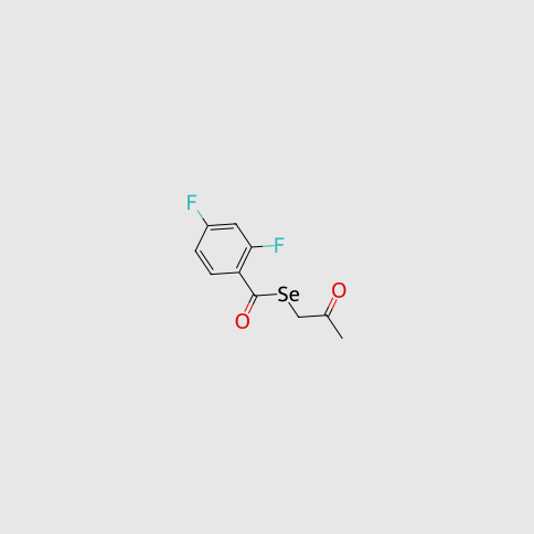 CC(=O)C[Se]C(=O)c1ccc(F)cc1F